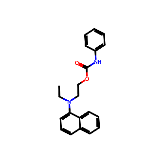 CCN(CCOC(=O)Nc1ccccc1)c1cccc2ccccc12